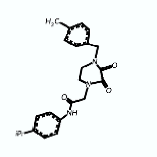 Cc1ccc(CN2CCN(CC(=O)Nc3ccc(C(C)C)cc3)C(=O)C2=O)cc1